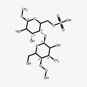 CO[C@H]1OC(COS(=O)(=O)O)[C@H](O[C@@H]2OC(CO)[C@H](OOO)[C@H](C)C2O)[C@H](O)C1O